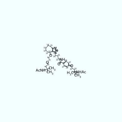 CC(=O)NC(C)(C)CCOCCOC1CCCCCc2nnn(CCCNC(=O)c3ccc(OCCC(C)(C)NC(C)=O)cc3)c21